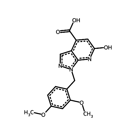 COc1ccc(Cn2ncc3c(C(=O)O)cc(O)nc32)c(OC)c1